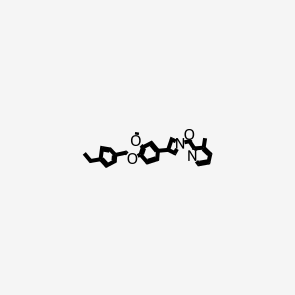 CCc1ccc(COc2ccc(C3CN(C(=O)c4ncccc4C)C3)cc2OC)cc1